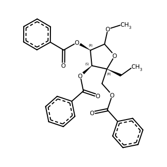 CC[C@]1(COC(=O)c2ccccc2)OC(OC)[C@H](OC(=O)c2ccccc2)[C@@H]1OC(=O)c1ccccc1